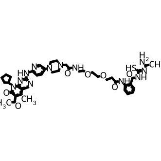 CC(=O)c1c(C)c2cnc(Nc3ccc(N4CCN(CC(=O)NCCOCCOCCC(=O)Nc5ccccc5C(=O)N/C(S)=N/C(C)N)CC4)cn3)nc2n(C2CCCC2)c1=O